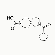 O=C(O)N1CCC2(CC1)CCN(C(=O)C1CCCC1)C2